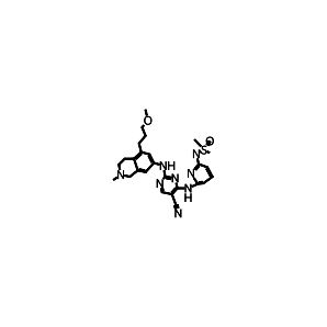 COCCCc1cc(Nc2ncc(C#N)c(Nc3cccc(N=S(C)(C)=O)n3)n2)cc2c1CCN(C)C2